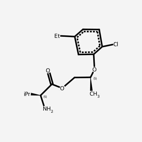 CCc1ccc(Cl)c(O[C@@H](C)COC(=O)[C@@H](N)C(C)C)c1